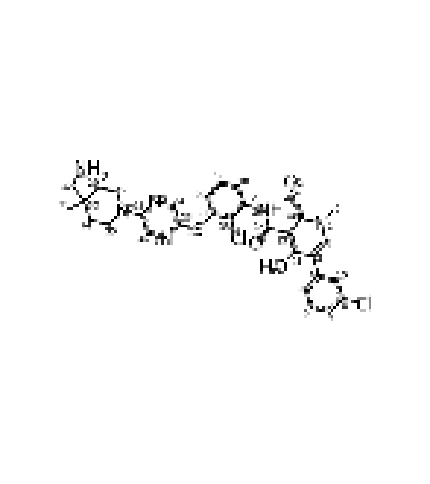 CN1C=C(c2cccc(Cl)c2)C(O)=C(C(=O)Nc2cccc(Sc3cnc(N4CCC(C)(CN)CC4)cn3)c2Cl)C1=C=O